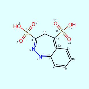 O=S(=O)(O)C1=NN=c2ccccc2=C(S(=O)(=O)O)C1